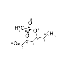 CCC(CCC=O)OS(C)(=O)=O